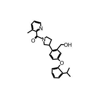 Cc1cccnc1C(=O)N1CCC(c2ccc(Oc3ccccc3C(C)C)cc2CO)C1